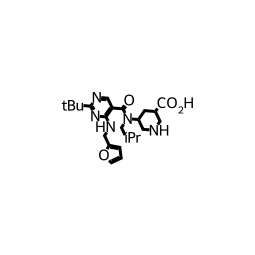 CC(C)CN(C(=O)c1cnc(C(C)(C)C)nc1NCc1ccco1)C1CNCC(C(=O)O)C1